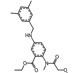 CCOC(=O)c1cc(NCc2cc(C)cc(C)c2)ccc1N(C)C(=O)COC